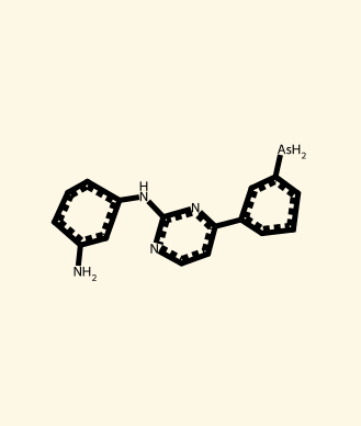 Nc1cccc(Nc2nccc(-c3cccc([AsH2])c3)n2)c1